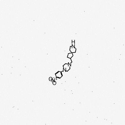 O=[N+]([O-])c1ccc(N2CCN(CC3CCC4(CCNCC4)C3)CC2)cc1